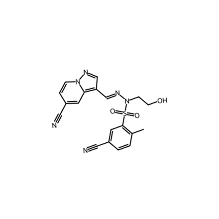 Cc1ccc(C#N)cc1S(=O)(=O)N(CCO)N=Cc1cnn2ccc(C#N)cc12